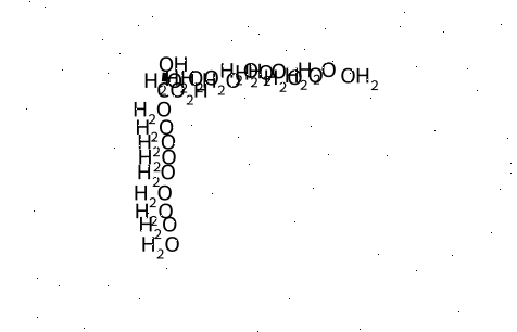 O.O.O.O.O.O.O.O.O.O.O.O.O.O.O.O.O.O.O.O.O=C(O)O